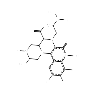 COC(=O)C1C2CN(C)C(C)CN2c2c(c(=O)n(C)c3c(F)c(C)c(F)cc23)N1CCN(C)C